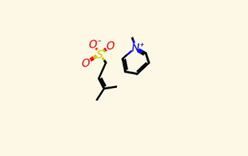 CC(C)=CCS(=O)(=O)[O-].C[n+]1ccccc1